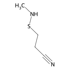 CNSCCC#N